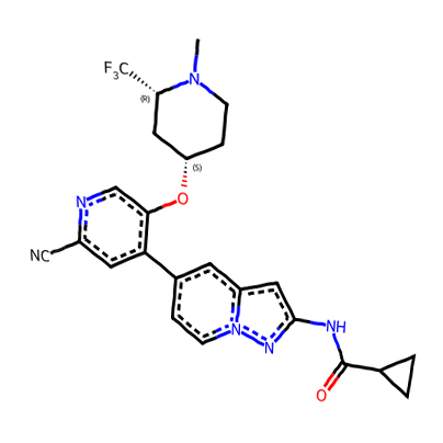 CN1CC[C@H](Oc2cnc(C#N)cc2-c2ccn3nc(NC(=O)C4CC4)cc3c2)C[C@@H]1C(F)(F)F